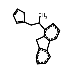 C[C](CC1=CC=CC1)c1cccc2c1Cc1ccccc1-2